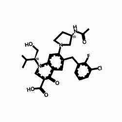 CC(=O)N[C@H]1CCN(c2cc3c(cc2Cc2cccc(Cl)c2F)c(=O)c(C(=O)O)cn3[C@H](CO)C(C)C)C1